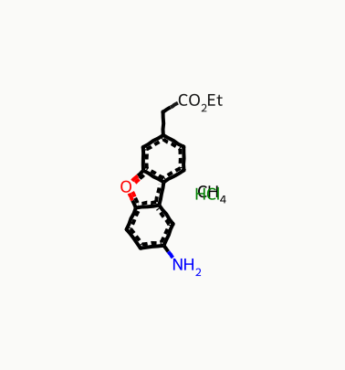 C.CCOC(=O)Cc1ccc2c(c1)oc1ccc(N)cc12.Cl